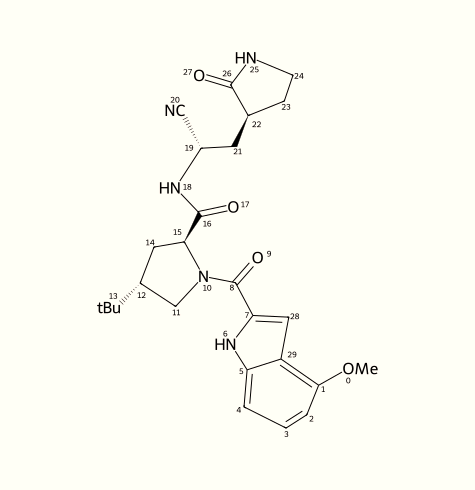 COc1cccc2[nH]c(C(=O)N3C[C@H](C(C)(C)C)C[C@H]3C(=O)N[C@H](C#N)C[C@@H]3CCNC3=O)cc12